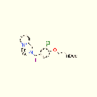 CCCCCCCCCCCCOc1ccc(CN(Cc2cccc[n+]2CC)C(C)=O)cc1Cl.[I-]